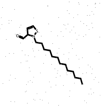 CCCCCCCCCCCCCN1SC=CC1C=O